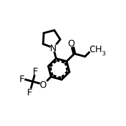 CCC(=O)c1ccc(OC(F)(F)F)cc1N1CCCC1